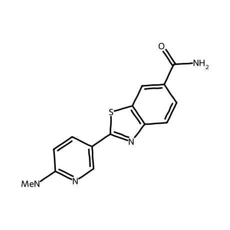 CNc1ccc(-c2nc3ccc(C(N)=O)cc3s2)cn1